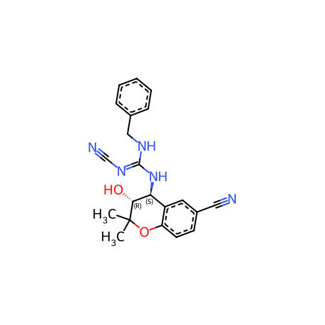 CC1(C)Oc2ccc(C#N)cc2[C@H](NC(=NC#N)NCc2ccccc2)[C@H]1O